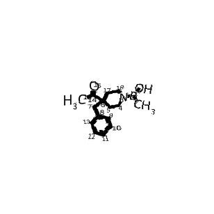 CB(O)N1CCC(Cc2ccccc2)(C(C)=O)CC1